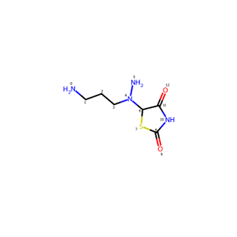 NCCCN(N)C1SC(=O)NC1=O